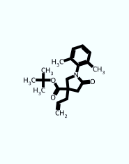 C=CCC1(C(=O)OC(C)(C)C)CC(=O)N(c2c(C)cccc2C)C1